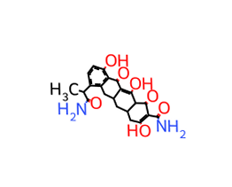 CC(C(N)=O)c1ccc(O)c2c1CC1CC3CC(O)=C(C(N)=O)C(=O)C3C(O)=C1C2=O